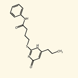 CCCc1cc(=O)nc(SCCCC(=O)Nc2ccccc2)[nH]1